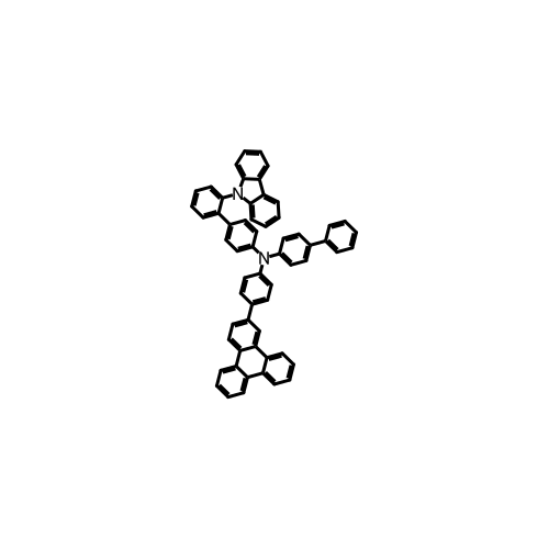 c1ccc(-c2ccc(N(c3ccc(-c4ccc5c6ccccc6c6ccccc6c5c4)cc3)c3ccc(-c4ccccc4-n4c5ccccc5c5ccccc54)cc3)cc2)cc1